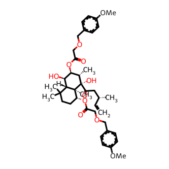 C=C[C@@H](C)CC(=O)[C@]1(O)[C@@H](C)[C@H](OC(=O)COCc2ccc(OC)cc2)[C@H](O)[C@H]2C(C)(C)CC[C@@H](OC(=O)COCc3ccc(OC)cc3)[C@@]21C